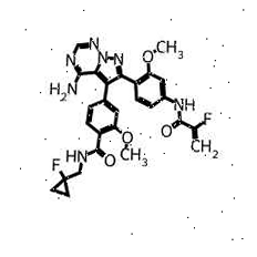 C=C(F)C(=O)Nc1ccc(-c2nn3ncnc(N)c3c2-c2ccc(C(=O)NCC3(F)CC3)c(OC)c2)c(OC)c1